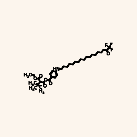 CCOC(=O)C(C(=O)OC(=O)c1ccc(NCCCCCCCCCCCCCCCCC(=O)C(F)(F)F)cc1)C(C)(C)C